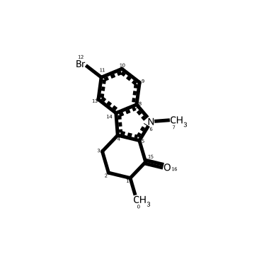 CC1CCc2c(n(C)c3ccc(Br)cc23)C1=O